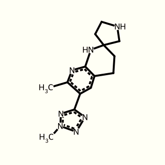 Cc1nc2c(cc1-c1nnn(C)n1)CCC1(CCNC1)N2